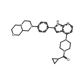 O=C(C1CC1)N1CCN(c2ccnc3[nH]c(-c4ccc(N5CCN6CCOCC6C5)cc4)cc23)CC1